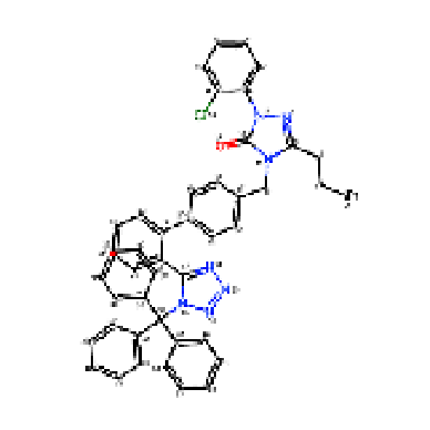 CC(C)CCc1nn(-c2ccccc2Cl)c(=O)n1Cc1ccc(-c2ccccc2-c2nnnn2C(c2ccccc2)(c2ccccc2)c2ccccc2)cc1